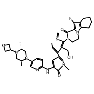 C=N/C(=C(CO)\C(=C/C)c1cc(Nc2ccc(N3C[C@@H](C)N(C4COC4)C[C@@H]3C)cn2)c(=O)n(C)c1)N1CCn2c3c(c(F)c2C1=O)CCCC3